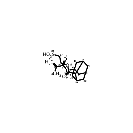 C=C(C)C(=O)OC12CC3CC(C1)C(C(=O)OCCS(=O)(=O)O)C(C3)C2